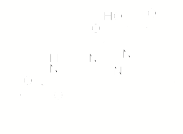 CC(C)(C)OC(=O)NCCN1CN(C(c2ccccc2)c2ccccc2)n2ccc(=O)c(O)c2C1=O